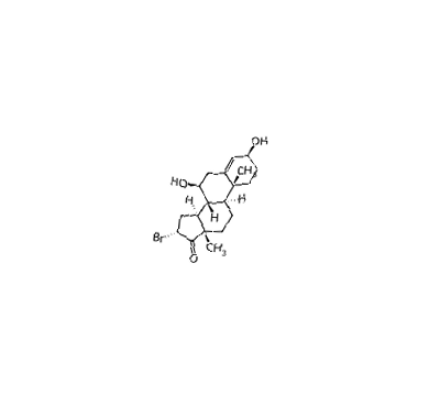 C[C@]12CC[C@H](O)C=C1C[C@H](O)[C@@H]1[C@@H]2CC[C@]2(C)C(=O)[C@H](Br)C[C@@H]12